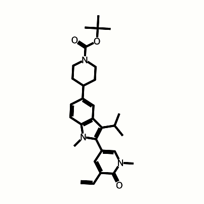 C=Cc1cc(-c2c(C(C)C)c3cc(C4CCN(C(=O)OC(C)(C)C)CC4)ccc3n2C)cn(C)c1=O